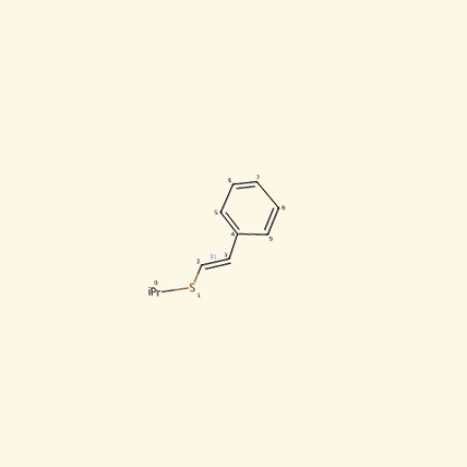 CC(C)S/C=C/c1ccccc1